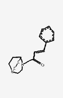 O=C(C=Cc1ccccc1)N1CCN2CCC1CC2